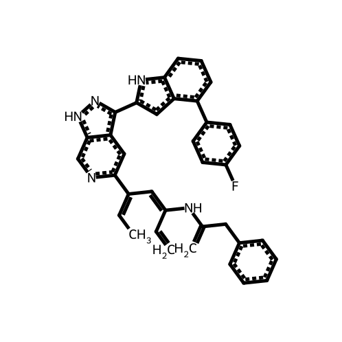 C=C/C(=C\C(=C/C)c1cc2c(-c3cc4c(-c5ccc(F)cc5)cccc4[nH]3)n[nH]c2cn1)NC(=C)Cc1ccccc1